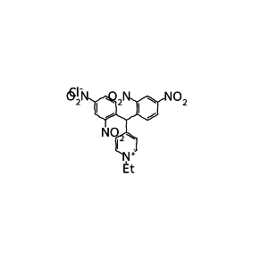 CC[n+]1ccc(C(c2ccc([N+](=O)[O-])cc2[N+](=O)[O-])c2ccc([N+](=O)[O-])cc2[N+](=O)[O-])cc1.[Cl-]